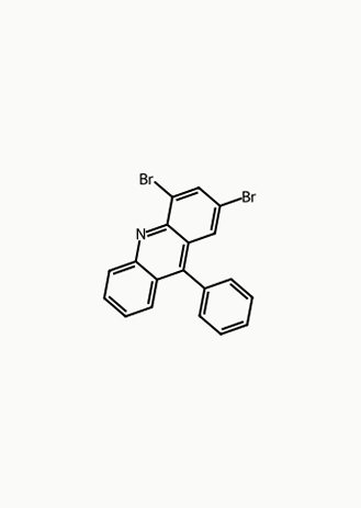 Brc1cc(Br)c2nc3ccccc3c(-c3ccccc3)c2c1